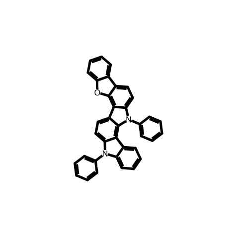 c1ccc(-n2c3ccccc3c3c2ccc2c4c5oc6ccccc6c5ccc4n(-c4ccccc4)c23)cc1